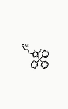 CC(=O)OCCCc1cn(C(c2ccccc2)(c2ccccc2)c2ccccc2)c(F)n1